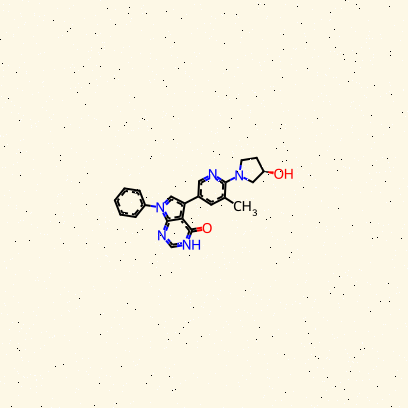 Cc1cc(-c2cn(-c3ccccc3)c3nc[nH]c(=O)c23)cnc1N1CC[C@@H](O)C1